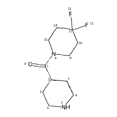 O=C(C1CCNCC1)N1CCC(F)(F)CC1